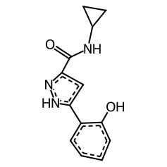 O=C(NC1CC1)c1cc(-c2ccccc2O)[nH]n1